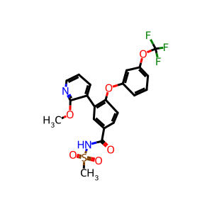 COc1ncccc1-c1cc(C(=O)NS(C)(=O)=O)ccc1Oc1cccc(OC(F)(F)F)c1